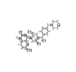 CCC(c1ccc(CN2CCOCC2)cc1)N1C[C@H](CC)N(c2nc(=O)n(C)c3ccc(C#N)nc23)C[C@H]1CC